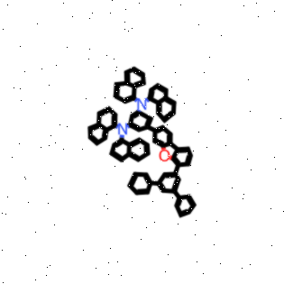 c1ccc(-c2cc(-c3ccccc3)cc(-c3cccc4c3oc3cc(-c5cc(N(c6cccc7ccccc67)c6cccc7ccccc67)cc(N(c6cccc7ccccc67)c6cccc7ccccc67)c5)ccc34)c2)cc1